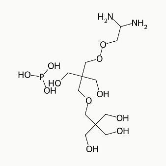 NC(N)COOCC(CO)(CO)COCC(CO)(CO)CO.OP(O)O